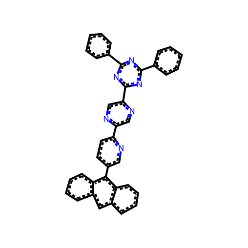 c1ccc(-c2nc(-c3ccccc3)nc(-c3cnc(-c4ccc(-c5c6ccccc6cc6ccccc56)cn4)cn3)n2)cc1